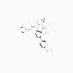 CC(Cn1cncn1)N1c2ccc(-c3ccc(N)nc3)nc2C(N)N(C2(C(F)(F)F)CC2)C1N